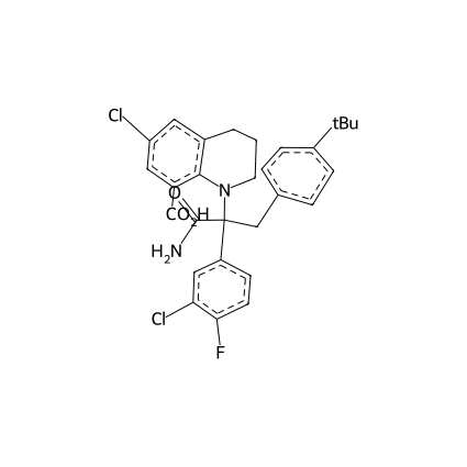 CC(C)(C)c1ccc(CC(C(N)=O)(c2ccc(F)c(Cl)c2)N2CCCc3cc(Cl)cc(C(=O)O)c32)cc1